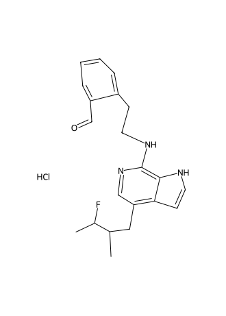 CC(F)C(C)Cc1cnc(NCCc2ccccc2C=O)c2[nH]ccc12.Cl